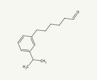 CC(C)c1cccc(CCCCC[C]=O)c1